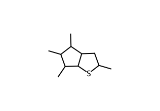 CC1CC2C(C)C(C)C(C)C2S1